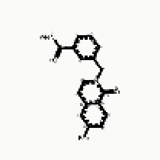 CNC(=O)c1cccc(Cn2ccc3cc(Br)ccc3c2=O)c1